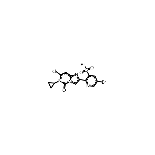 CCS(=O)(=O)c1cc(Br)cnc1-c1cn2c(=O)n(C3CC3)c(Cl)cc2n1